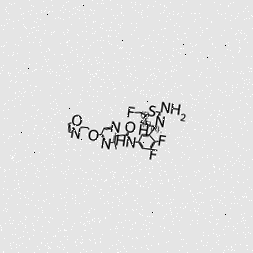 Cc1nc(OCc2ncco2)cnc1C(=O)Nc1cc(F)c(F)c([C@]2(C)N=C(N)S[C@@]3(CF)C[C@H]32)c1